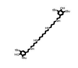 CC(C)(C)c1cc(CCNCCCCNCCCCCCCNCCCCNCCc2cc(C(C)(C)C)c(O)c(C(C)(C)C)c2)cc(C(C)(C)C)c1O